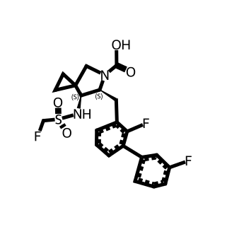 O=C(O)N1CC2(CC2)[C@H](NS(=O)(=O)CF)[C@@H]1Cc1cccc(-c2cccc(F)c2)c1F